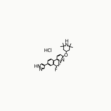 CC1(C)CC(Oc2ccc(-c3ccc(-c4cn[nH]c4)cc3C(F)F)nn2)CC(C)(C)N1.Cl